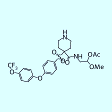 COC(CNC(=O)C1(S(=O)(=O)c2ccc(Oc3ccc(OC(F)(F)F)cc3)cc2)CCNCC1)OC(C)=O